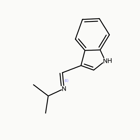 CC(C)/N=C/c1c[nH]c2ccccc12